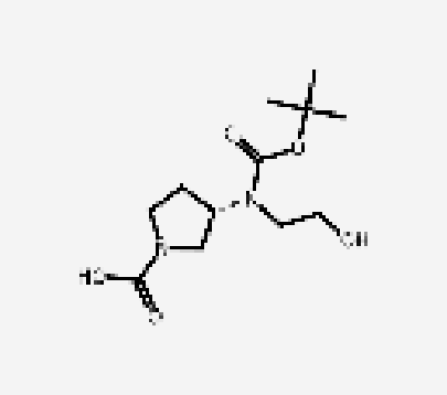 CC(C)(C)OC(=O)N(CCO)[C@H]1CCN(C(=O)O)C1